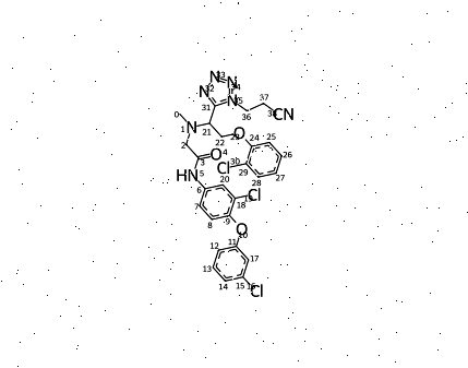 CN(CC(=O)Nc1ccc(Oc2cccc(Cl)c2)c(Cl)c1)C(COc1ccccc1Cl)c1nnnn1CCC#N